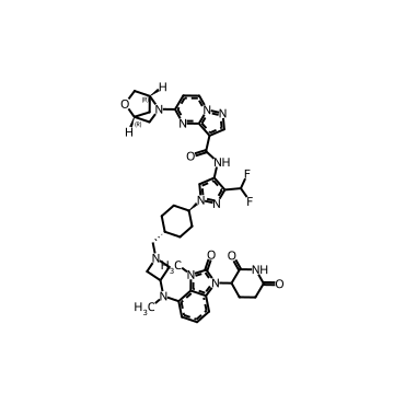 CN(c1cccc2c1n(C)c(=O)n2C1CCC(=O)NC1=O)C1CN(C[C@H]2CC[C@H](n3cc(NC(=O)c4cnn5ccc(N6C[C@H]7C[C@@H]6CO7)nc45)c(C(F)F)n3)CC2)C1